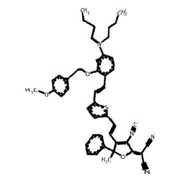 [C-]#[N+]C1=C(/C=C/c2ccc(/C=C/c3ccc(N(CCCC)CCCC)cc3OCc3ccc(OC)cc3)s2)C(C)(c2ccccc2)OC1=C(C#N)C#N